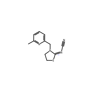 Cc1cccc(CN2CCS/C2=N/C#N)n1